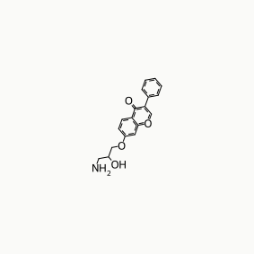 NCC(O)COc1ccc2c(=O)c(-c3ccccc3)coc2c1